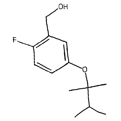 CC(C)C(C)(C)Oc1ccc(F)c(CO)c1